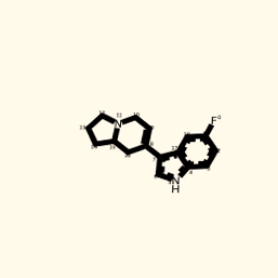 Fc1ccc2[nH]cc(C3=CCN4CCCC4C3)c2c1